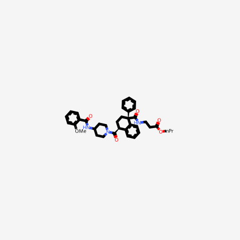 CCCOC(=O)CCNC(=O)[C@@]1(c2ccccc2)CC[C@H](C(=O)N2CCC(NC(=O)c3ccccc3OC)CC2)c2ccccc21